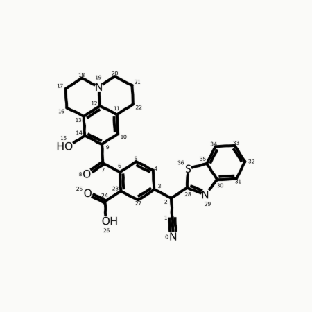 N#CC(c1ccc(C(=O)c2cc3c4c(c2O)CCCN4CCC3)c(C(=O)O)c1)c1nc2ccccc2s1